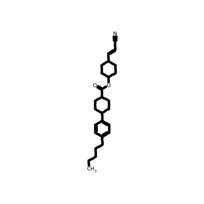 CCCCCc1ccc(C2CCC(C(=O)OC3CCC(/C=C/C#N)CC3)CC2)cc1